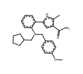 COc1ccc(CN(CC2CCCC2)c2ccccc2-c2cc(C(N)=O)c(C)[nH]2)cc1